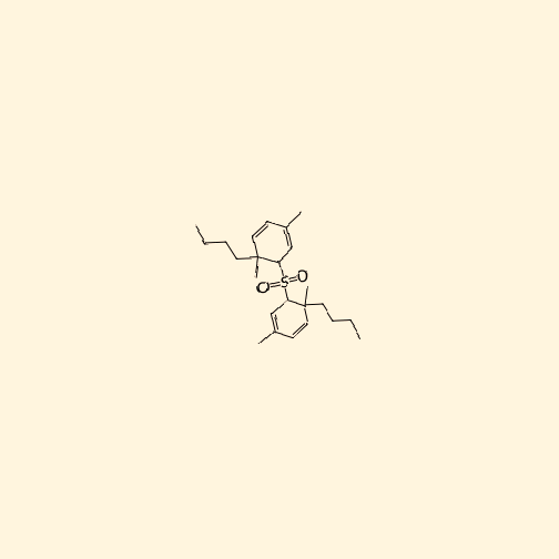 CCCCC1(C)C=CC(C)=CC1S(=O)(=O)C1C=C(C)C=CC1(C)CCCC